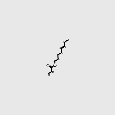 CC/C=C/CCCCOC(=O)CC